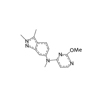 COc1nccc(N(C)c2ccc3c(C)n(C)nc3c2)n1